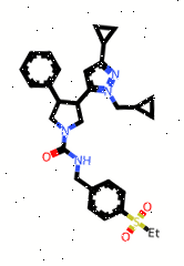 CCS(=O)(=O)c1ccc(CNC(=O)N2CC(c3ccccc3)C(c3cc(C4CC4)nn3CC3CC3)C2)cc1